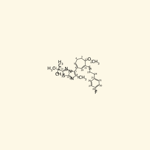 COC1CCC=C(c2c(C)nc3sc(C(C)(C)C)nn23)C=C1SCCc1ccc(F)cc1